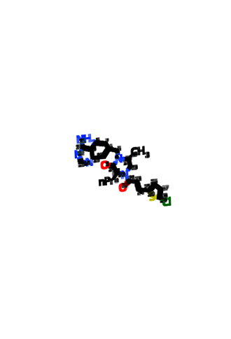 CCC[C@H]1C(=O)N(Cc2ccc3c(N)ncnc3c2)[C@H](C)CN1C(=O)C=Cc1ccc(Cl)s1